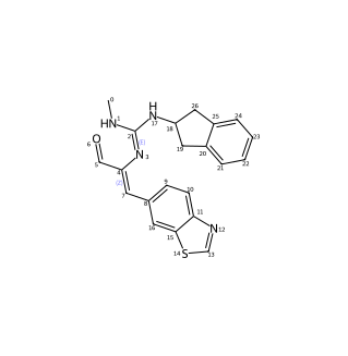 CN/C(=N\C(C=O)=C/c1ccc2ncsc2c1)NC1Cc2ccccc2C1